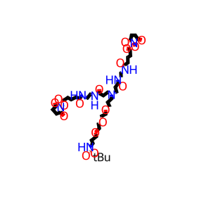 CC(C)(C)OC(=O)NCCCOCCOCCOCCCN(CCC(=O)NCCNC(=O)CCCC(=O)ON1C(=O)CCC1=O)CCC(=O)NCCNC(=O)CCCC(=O)ON1C(=O)CCC1=O